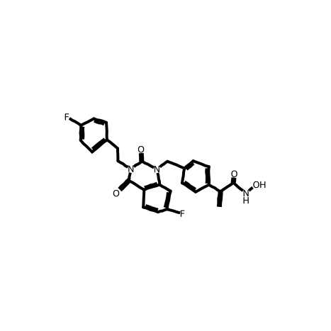 C=C(C(=O)NO)c1ccc(Cn2c(=O)n(CCc3ccc(F)cc3)c(=O)c3ccc(F)cc32)cc1